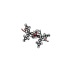 CCCCC(CC)COc1cc(-c2c(OC)cc(OC)cc2OC)ccc1N(c1ccc(C2C(O)C(c3ccc(N(c4ccc(-c5c(OC)cc(OC)cc5OC)cc4OCC(CC)CCCC)c4ccc(-c5c(OC)cc(OC)cc5OC)cc4OCC(CC)CCCC)cc3O)[C@H]3C(O)C23)c(O)c1)c1ccc(-c2c(OC)cc(OC)cc2OC)cc1OCC(CC)CCCC